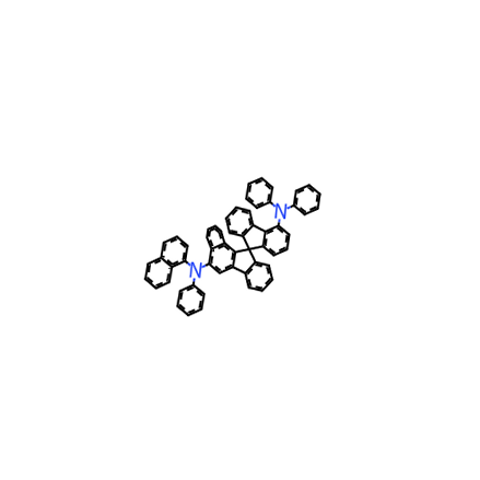 c1ccc(N(c2ccccc2)c2cccc3c2-c2ccccc2C32c3ccccc3-c3cc(N(c4ccccc4)c4cccc5ccccc45)c4ccccc4c32)cc1